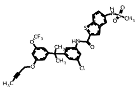 CC#CCOc1cc(OC(F)(F)F)cc(C(C)(C)c2cc(Cl)cc(NC(=O)c3cc4cc(NS(C)(=O)=O)ccc4s3)c2)c1